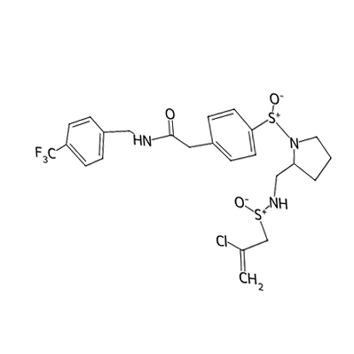 C=C(Cl)C[S+]([O-])NCC1CCCN1[S+]([O-])c1ccc(CC(=O)NCc2ccc(C(F)(F)F)cc2)cc1